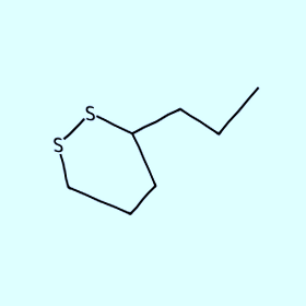 CCCC1CCCSS1